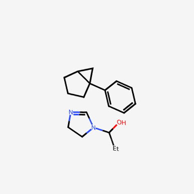 CCC(O)N1C=NCC1.c1ccc(C23CCCC2C3)cc1